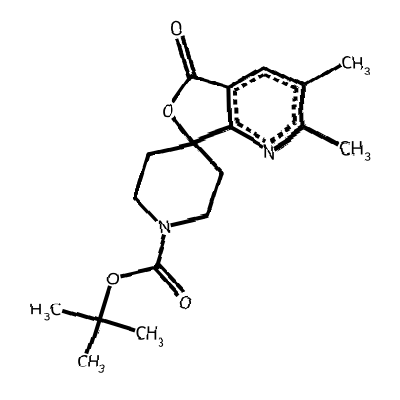 Cc1cc2c(nc1C)C1(CCN(C(=O)OC(C)(C)C)CC1)OC2=O